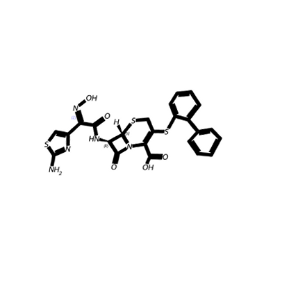 Nc1nc(/C(=N/O)C(=O)N[C@@H]2C(=O)N3C(C(=O)O)=C(Sc4ccccc4-c4ccccc4)CS[C@@H]23)cs1